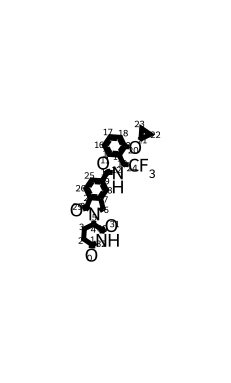 O=C1CCC(N2Cc3cc(C(=O)NC(c4ccccc4OC4CC4)C(F)(F)F)ccc3C2=O)C(=O)N1